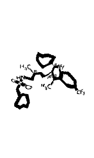 C[C@H](CC[C@@H]1[C@H](C)c2cc(C(F)(F)F)ccc2N[C@H]1c1ccccc1)CNS(=O)(=O)Cc1ccccc1